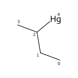 CC[CH](C)[Hg]